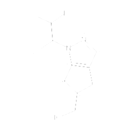 OCC1Cc2cnn(C(F)C(F)F)c2C1